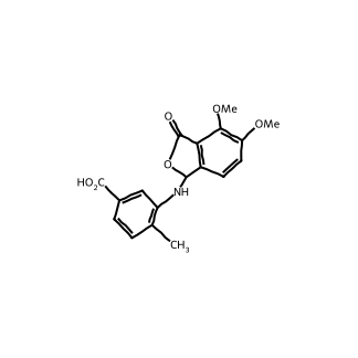 COc1ccc2c(c1OC)C(=O)OC2Nc1cc(C(=O)O)ccc1C